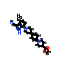 Cc1ccc(N2CCC(c3ccc(N4CCC(C5OCCO5)CC4)cc3)CC2)c2[nH]nc(C#N)c12